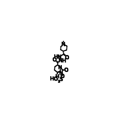 CN1CCC(C(=O)NNC(=O)[C@@H]2CC[C@@H]3CN2C(=O)N3OS(=O)(=O)O)CC1